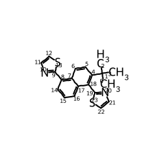 CC(C)(C)c1ccc2c(-c3nccs3)cccc2c1-c1nccs1